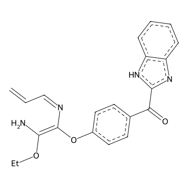 C=C/C=N\C(Oc1ccc(C(=O)c2nc3ccccc3[nH]2)cc1)=C(/N)OCC